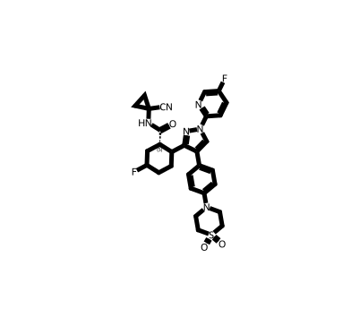 N#CC1(NC(=O)[C@H]2CC(F)CCC2c2nn(-c3ccc(F)cn3)cc2-c2ccc(N3CCS(=O)(=O)CC3)cc2)CC1